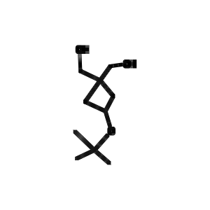 CC(C)(C)OC1CC(CO)(CO)C1